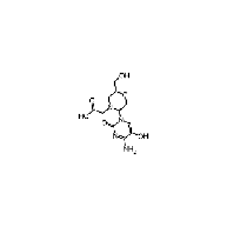 Nc1nc(=O)n(C2COC(CO)CN2CC(=O)O)cc1O